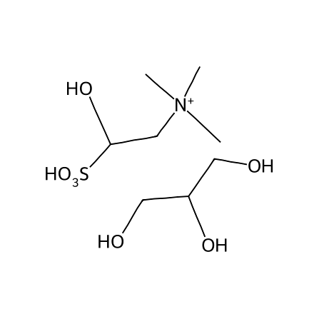 C[N+](C)(C)CC(O)S(=O)(=O)O.OCC(O)CO